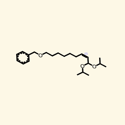 CC(C)OC(/C=C\CCCCCCOCc1ccccc1)OC(C)C